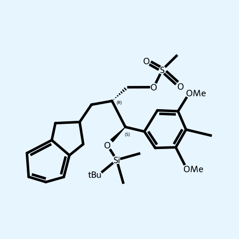 COc1cc([C@@H](O[Si](C)(C)C(C)(C)C)[C@@H](COS(C)(=O)=O)CC2Cc3ccccc3C2)cc(OC)c1C